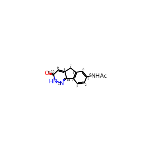 CC(=O)Nc1ccc2c(c1)Cc1cc(=O)[nH]nc1-2